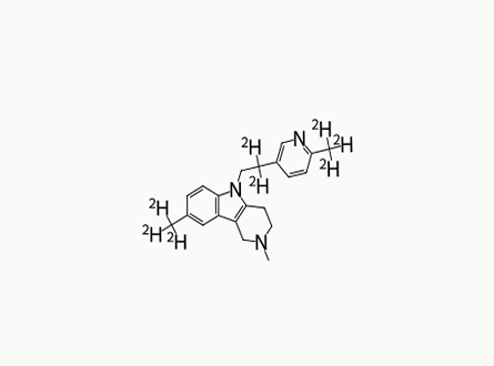 [2H]C([2H])([2H])c1ccc2c(c1)c1c(n2CC([2H])([2H])c2ccc(C([2H])([2H])[2H])nc2)CCN(C)C1